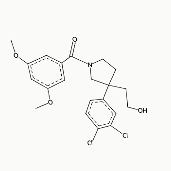 COc1cc(OC)cc(C(=O)N2CCC(CCO)(c3ccc(Cl)c(Cl)c3)C2)c1